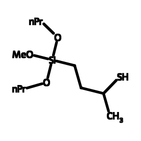 CCCO[Si](CCC(C)S)(OC)OCCC